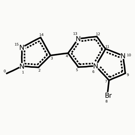 Cn1cc(-c2cn3c(Br)cnc3cn2)cn1